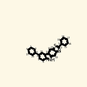 c1ccc(-c2ccc3[nH]c4cc5nc(-c6ccccc6)sc5cc4c3c2)cc1